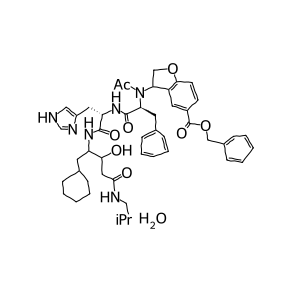 CC(=O)N(C1COc2ccc(C(=O)OCc3ccccc3)cc21)[C@@H](Cc1ccccc1)C(=O)N[C@@H](Cc1c[nH]cn1)C(=O)NC(CC1CCCCC1)C(O)CC(=O)NCC(C)C.O